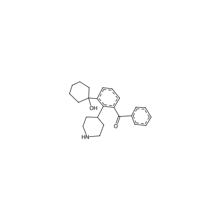 O=C(c1ccccc1)c1cccc(C2(O)CCCCC2)c1C1CCNCC1